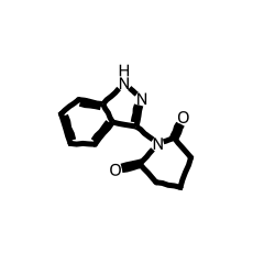 O=C1CCCC(=O)N1c1n[nH]c2ccccc12